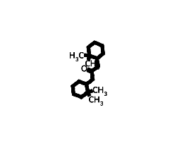 CC1(C)CCCCC1CC(=O)CC1CCCCC1(C)C